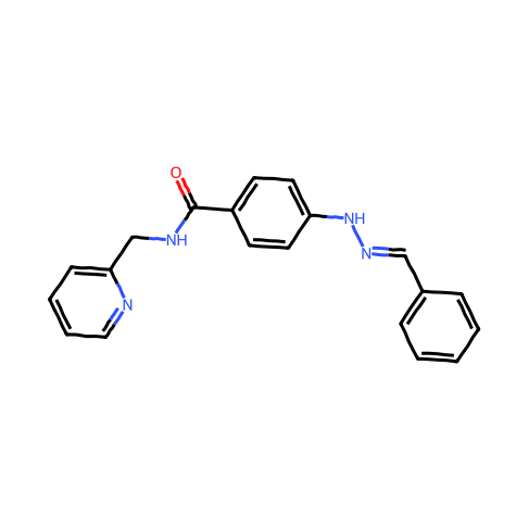 O=C(NCc1ccccn1)c1ccc(N/N=C/c2ccccc2)cc1